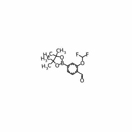 CC1(C)OB(c2ccc(C=O)c(OC(F)F)c2)OC1(C)C